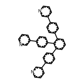 c1cncc(-c2ccc(-c3cccc(-c4ccc(-c5cccnc5)cc4)c3-c3ccc(-c4cccnc4)cc3)cc2)c1